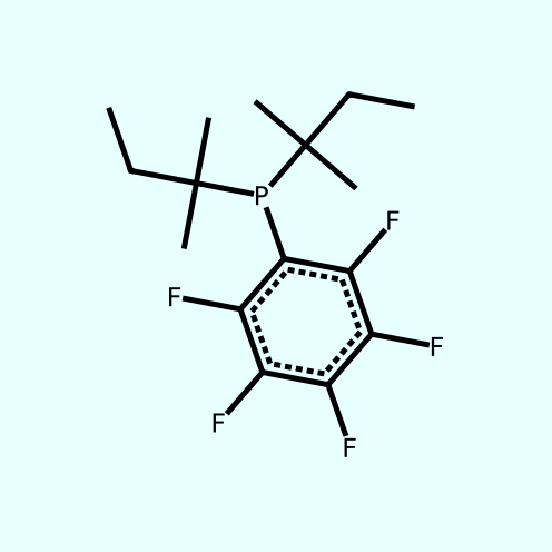 CCC(C)(C)P(c1c(F)c(F)c(F)c(F)c1F)C(C)(C)CC